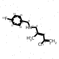 C=C(Cl)/C=C(\C)CNCc1ccc(F)cc1